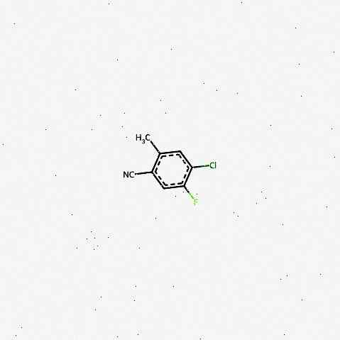 Cc1cc(Cl)c(F)cc1C#N